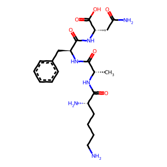 C[C@H](NC(=O)[C@@H](N)CCCCN)C(=O)N[C@@H](Cc1ccccc1)C(=O)N[C@@H](CC(N)=O)C(=O)O